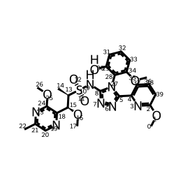 COC1=NC(c2nnc(NS(=O)(=O)[C@H](C)[C@@H](OC)c3ncc(C)nc3OC)n2-c2c(O)cccc2OC)=C=C=C1